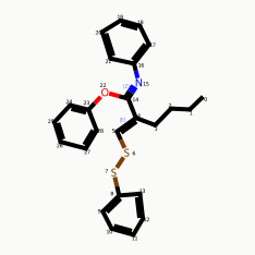 CCCCC(=C\SSc1ccccc1)/C(=N/c1ccccc1)Oc1ccccc1